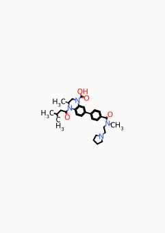 CC(C)CC(=O)N1c2ccc(-c3ccc(C(=O)N(C)CCN4CCCC4)cc3)cc2N(C(=O)O)C[C@@H]1C